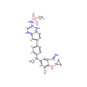 CN(c1ccc(-c2ccc3nc(NS(C)(=O)=O)cnc3c2)cc1)c1cc(Cl)c(OC2CC2)c(C#N)c1